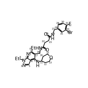 CCc1nc2c(cnn2CC)c(NC2CCOCC2)c1CNC(=O)CCC(=O)NCc1ccc(F)c(Br)c1